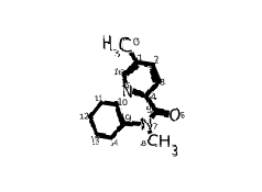 Cc1ccc(C(=O)N(C)C2CCCCC2)nc1